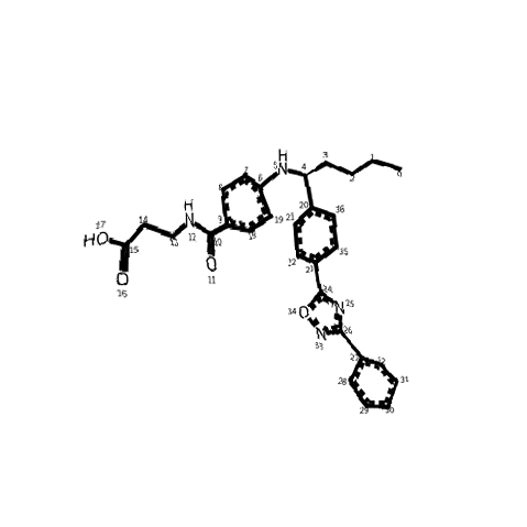 CCCC[C@H](Nc1ccc(C(=O)NCCC(=O)O)cc1)c1ccc(-c2nc(-c3ccccc3)no2)cc1